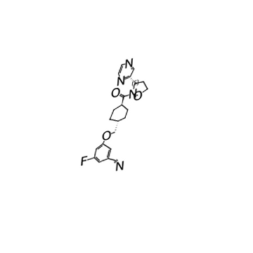 N#Cc1cc(F)cc(OC[C@H]2CC[C@H](C(=O)N3OCC[C@H]3c3cnccn3)CC2)c1